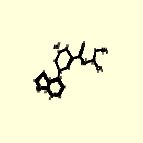 C[C@H](CN)NC(=O)C1=CN(c2ccnc3[nH]ccc23)CCS1.Cl